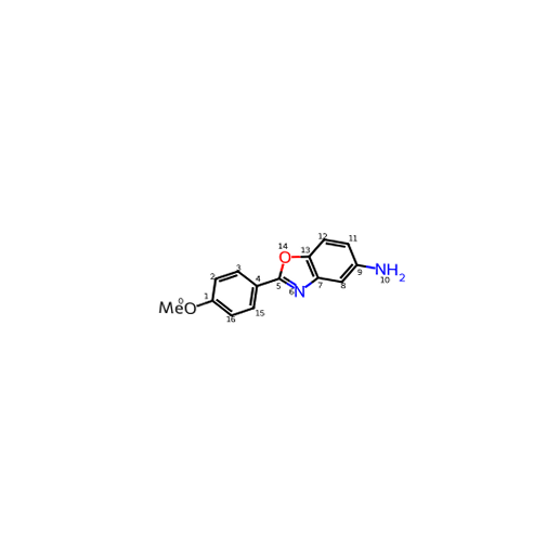 COc1ccc(-c2nc3cc(N)ccc3o2)cc1